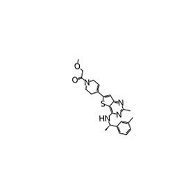 COCC(=O)N1CC=C(c2cc3nc(C)nc(N[C@H](C)c4cccc(C)c4)c3s2)CC1